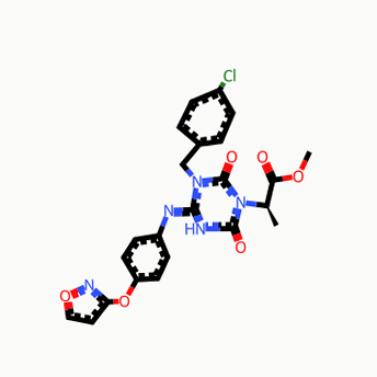 COC(=O)[C@@H](C)n1c(=O)[nH]/c(=N\c2ccc(Oc3ccon3)cc2)n(Cc2ccc(Cl)cc2)c1=O